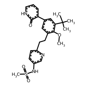 COc1c(CCc2ccc(NS(C)(=O)=O)cn2)cc(-c2ccc[nH]c2=O)cc1C(C)(C)C